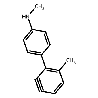 CNc1ccc(-c2c#cccc2C)cc1